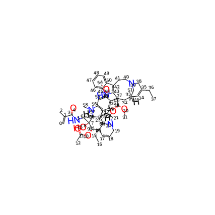 C=C(C)C(=O)NCC1(O)[C@H](OC(C)=O)[C@]2(CC)C=CCN3CC[C@@]4(c5cc([C@@]6(C(=O)OC)C[C@@H]7C=C(CC)CN(CCc8c6[nH]c6ccccc86)C7)c(OC)cc5N(C)[C@@H]14)[C@@H]32